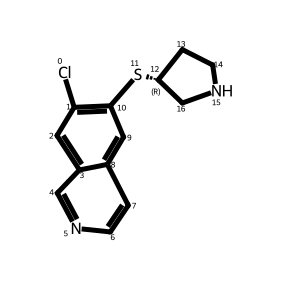 Clc1cc2cnccc2cc1S[C@@H]1CCNC1